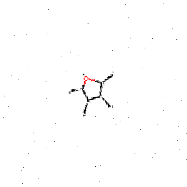 C[C@@H]1[C@H](C)[C@H](C)O[C@@H]1C